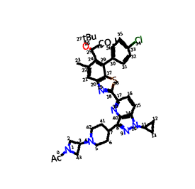 CC(=O)N1CC(N2CCC(c3nn(C4CC4)c4ccc(-c5nc6cc(C)c(C(OC(C)(C)C)C(=O)O)c(-c7ccc(Cl)cc7)c6s5)nc34)CC2)C1